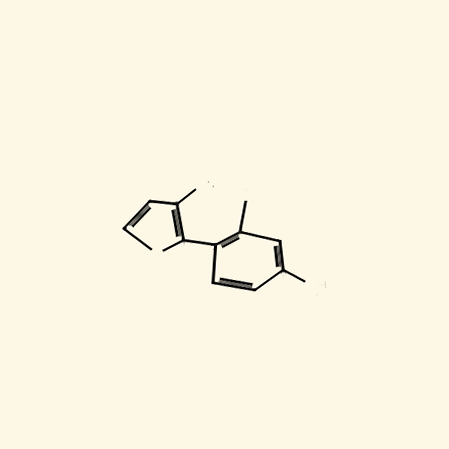 N#Cc1ccsc1-c1ccc(O)cc1F